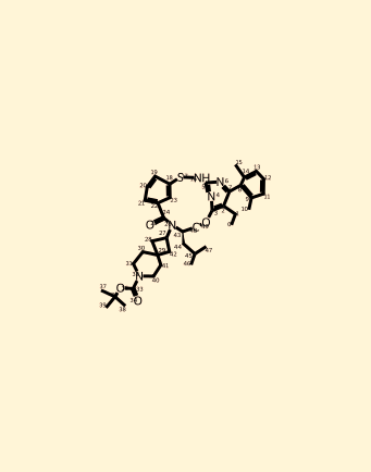 CCc1c2nc(nc1-c1c(C)cccc1C)NSc1cccc(c1)C(=O)N(C1CC3(CCN(C(=O)OC(C)(C)C)CC3)C1)[C@H](CC(C)C)CO2